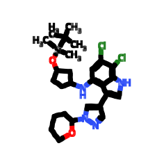 CC(C)(C)[Si](C)(C)OC1CCC(Nc2cc(Cl)c(Cl)c3[nH]cc(-c4cnn(C5CCCCO5)c4)c23)C1